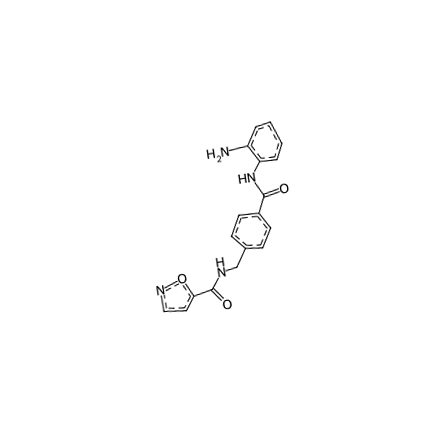 Nc1ccccc1NC(=O)c1ccc(CNC(=O)c2ccno2)cc1